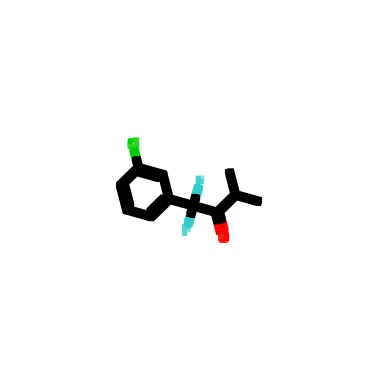 CC(C)C(=O)C(F)(F)c1cccc(Cl)c1